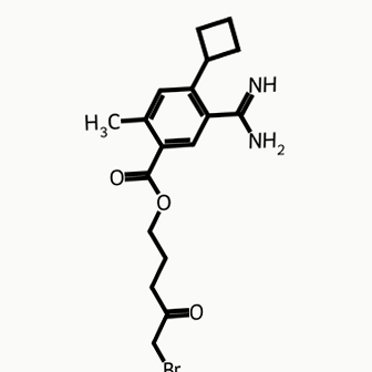 Cc1cc(C2CCC2)c(C(=N)N)cc1C(=O)OCCCC(=O)CBr